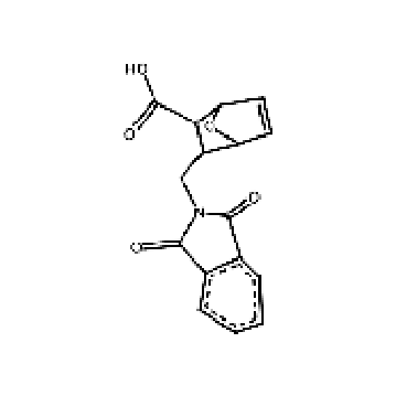 O=C(O)C1C2C=CC(O2)C1CN1C(=O)c2ccccc2C1=O